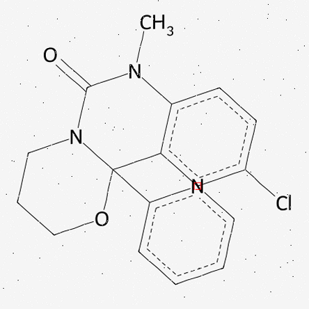 CN1C(=O)N2CCCOC2(c2ccccn2)c2cc(Cl)ccc21